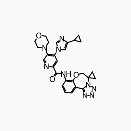 O=C(Nc1cccc2c1OCC1(CC1)n1nnnc1-2)c1cc(-n2cnc(C3CC3)c2)c(N2CCOCC2)cn1